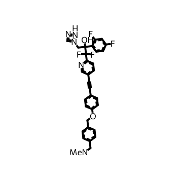 CNCc1ccc(COc2ccc(C#Cc3ccc(C(F)(F)C(O)(Cn4cn[nH]4)c4ccc(F)cc4F)nc3)cc2)cc1